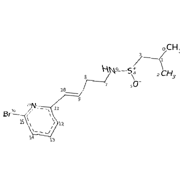 CC(C)C[S+]([O-])NCCC=Cc1cccc(Br)n1